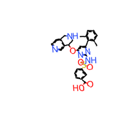 Cc1cccc(C)c1-c1cc(OC2CNCc3ccncc32)nc(NS(=O)(=O)c2cccc(C(=O)O)c2)n1